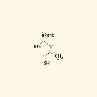 CCCCCC(CC)SC(C)CS